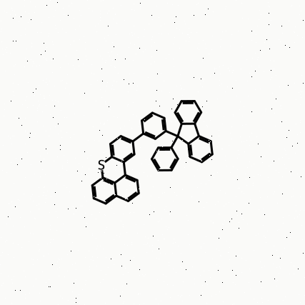 c1ccc(C2(c3cccc(-c4ccc5c(c4)-c4cccc6cccc(c46)S5)c3)c3ccccc3-c3ccccc32)cc1